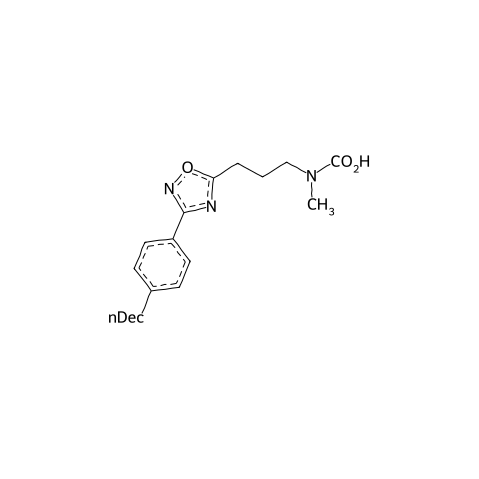 CCCCCCCCCCc1ccc(-c2noc(CCCN(C)C(=O)O)n2)cc1